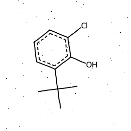 CC(C)(C)c1cccc(Cl)c1O